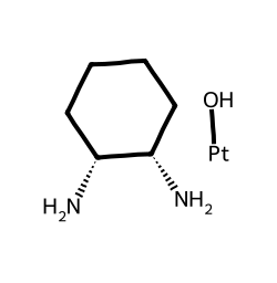 N[C@@H]1CCCC[C@@H]1N.[OH][Pt]